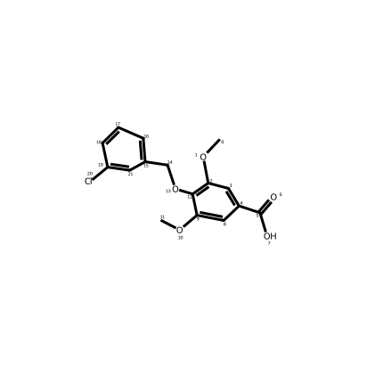 COc1cc(C(=O)O)cc(OC)c1OCc1cccc(Cl)c1